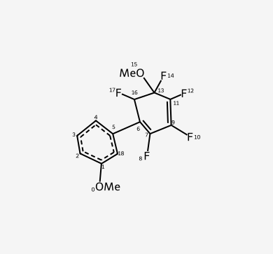 COc1cccc(C2=C(F)C(F)=C(F)C(F)(OC)C2F)c1